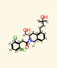 C[C@H]1c2cccc(CCC(C)(C)O)c2C[C@H](CO)N1C(=O)Cc1c(Cl)cccc1Cl